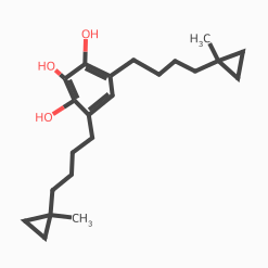 CC1(CCCCc2cc(CCCCC3(C)CC3)c(O)c(O)c2O)CC1